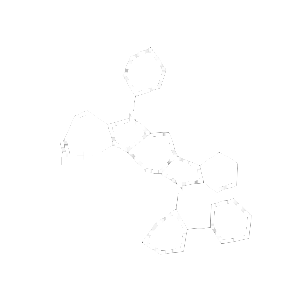 C#C/C=C\c1c(C)c2cc3c(cc2n1-c1ccccc1)c1c(n3-c2ccccc2-c2ccccc2)C=CCC1